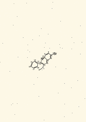 CCc1cc2cc(Br)ccc2nc1-c1ccccc1